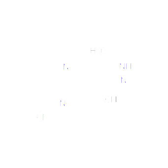 Cc1n[nH]c(C)c1-c1cnc2ccc(Cl)nc2c1